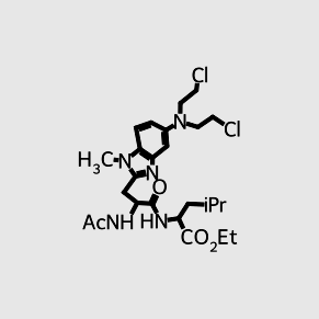 CCOC(=O)C(CC(C)C)NC(=O)C(Cc1nc2cc(N(CCCl)CCCl)ccc2n1C)NC(C)=O